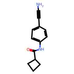 NC#Cc1ccc(NC(=O)C2CCC2)cc1